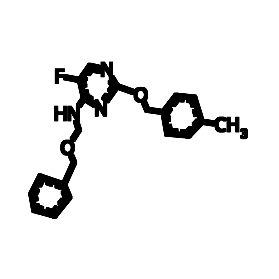 Cc1ccc(COc2ncc(F)c(NCOCc3ccccc3)n2)cc1